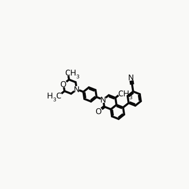 Cc1cn(-c2ccc(N3CC(C)OC(C)C3)cc2)c(=O)c2cccc(-c3cccc(C#N)c3)c12